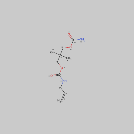 C=CCNC(=O)OCC(C)(COC(N)=O)C(C)CC